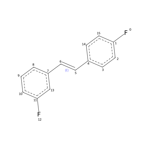 Fc1ccc(/C=C/c2cccc(F)c2)cc1